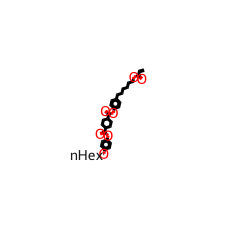 C=CC(=O)OCCCCCCc1ccc(OC(=O)C2CCC(C(=O)Oc3ccc(OCCCCCC)cc3)CC2)cc1